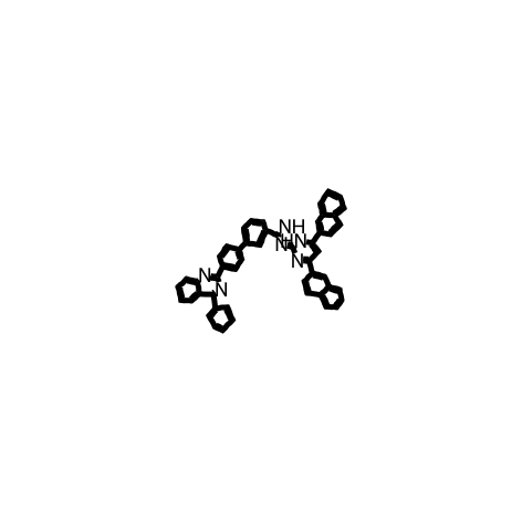 N=C(/N=c1/nc(-c2ccc3ccccc3c2)cc(-c2ccc3ccccc3c2)[nH]1)c1cccc(-c2ccc(-c3nc(-c4ccccc4)c4ccccc4n3)cc2)c1